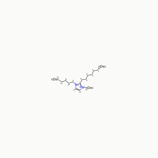 CCCCCCCCCCCCCCCCc1n(CCCCCCCCCCCCCC)cc[n+]1CCCCCCCCCC